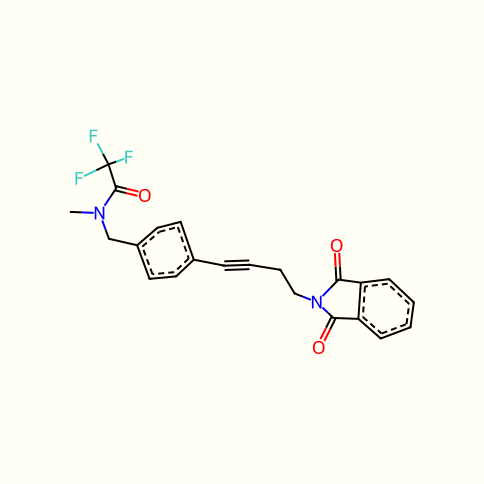 CN(Cc1ccc(C#CCCN2C(=O)c3ccccc3C2=O)cc1)C(=O)C(F)(F)F